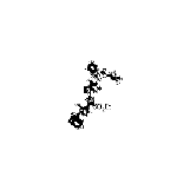 CCOC(=O)c1nc(N2CCc3c2nnc(/N=c2\sc4ccccc4n2COCC[Si](C)(C)C)c3C)sc1-c1cnn(CC23CC4CC(CC(C4)C2)C3)c1C